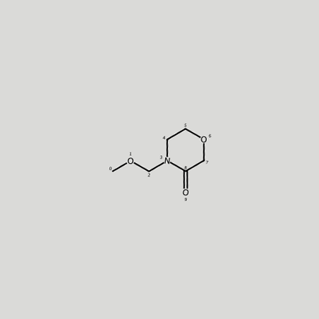 COCN1CCOCC1=O